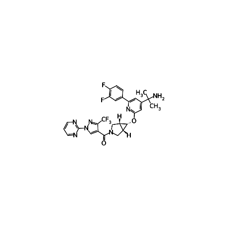 CC(C)(N)c1cc(O[C@@H]2[C@@H]3CN(C(=O)c4cn(-c5ncccn5)nc4C(F)(F)F)C[C@@H]32)nc(-c2ccc(F)c(F)c2)c1